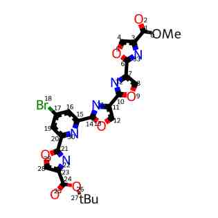 COC(=O)c1coc(-c2coc(-c3coc(-c4cc(Br)cc(-c5nc(C(=O)OC(C)(C)C)co5)n4)n3)n2)n1